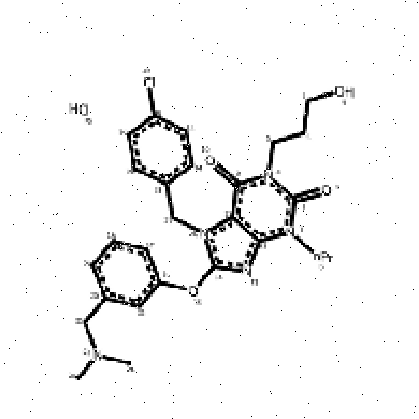 CCCn1c(=O)n(CCCO)c(=O)c2c1nc(Oc1cccc(CN(C)C)c1)n2Cc1ccc(Cl)cc1.Cl